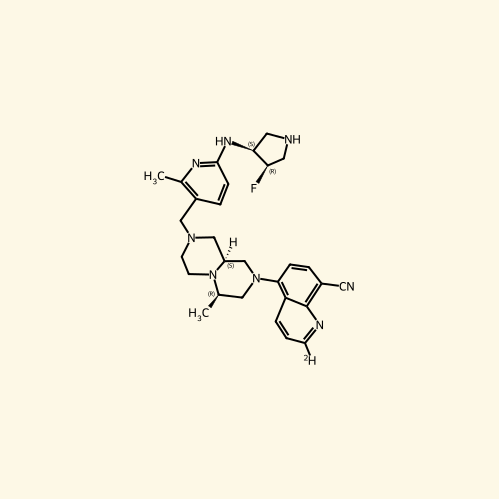 [2H]c1ccc2c(N3C[C@@H]4CN(Cc5ccc(N[C@H]6CNC[C@H]6F)nc5C)CCN4[C@H](C)C3)ccc(C#N)c2n1